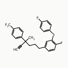 C#CC(C)(CCCc1ccc(F)c(Sc2ccc(F)cc2)c1)c1ccc(C(F)(F)F)cc1